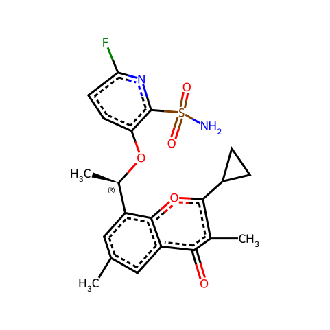 Cc1cc([C@@H](C)Oc2ccc(F)nc2S(N)(=O)=O)c2oc(C3CC3)c(C)c(=O)c2c1